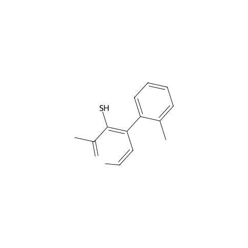 C=C(C)/C(S)=C(\C=C/C)c1ccccc1C